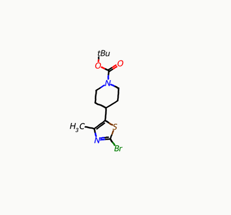 Cc1nc(Br)sc1C1CCN(C(=O)OC(C)(C)C)CC1